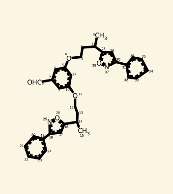 CC(CCOc1cc(C=O)cc(OCCC(C)c2cc(-c3ccccc3)no2)c1)c1cc(-c2ccccc2)no1